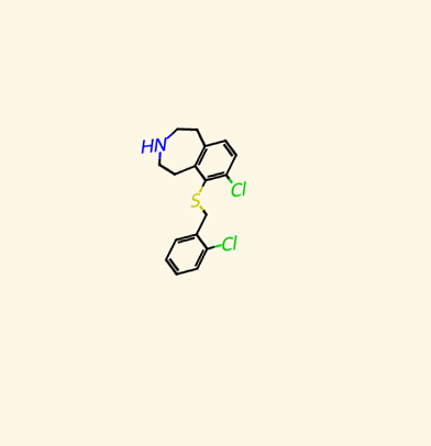 Clc1ccccc1CSc1c(Cl)ccc2c1CCNCC2